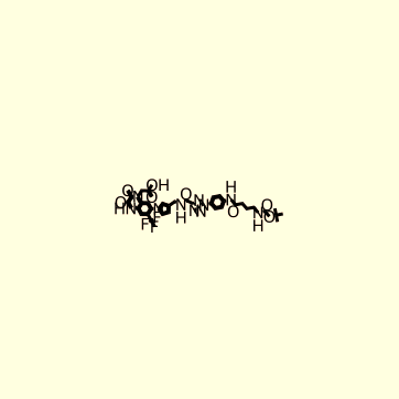 CC(C)(C)OC(=O)NCCCC(=O)Nc1ccc(-n2nnc(C(=O)NCc3ccn(-c4cc5c(cc4C(F)(F)F)[nH]c(=O)c(=O)n5CC(=O)O)c3)n2)cc1